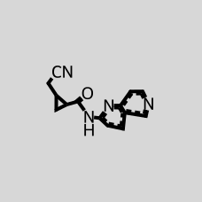 N#CCC1CC1C(=O)Nc1ccc2cnccc2n1